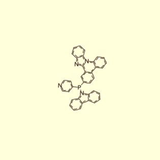 c1ccc2c(c1)nc1c3cc(P(c4ccncc4)n4c5ccccc5c5ccccc54)ccc3c3ccccc3n21